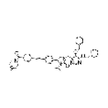 CC(C)N1C(=O)N(Cc2ncnc(OCc3ccccc3)c2OCc2ccccc2)CC1c1ccc(C#Cc2ccc(C(=O)N3CCSCC3)cc2)cc1